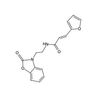 O=C(/C=C/c1ccco1)NCCn1c(=O)oc2ccccc21